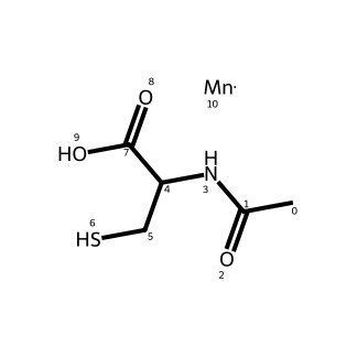 CC(=O)NC(CS)C(=O)O.[Mn]